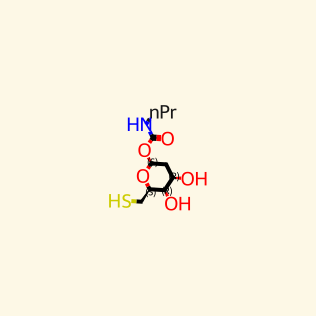 CCCNC(=O)O[C@H]1C[C@@H](O)[C@@H](O)[C@@H](CS)O1